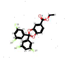 CCOC(=O)c1ccc2c(c1)OC(c1cc(F)cc(F)c1)(c1cc(F)cc(F)c1)O2